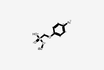 CCC(C)OP(=O)(O)COc1ccc(C(C)=O)cc1